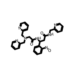 O=Nc1ccccc1C(CC(=O)NCc1ccccn1)NC(=O)CN(Cc1ccccn1)Cc1ccccn1